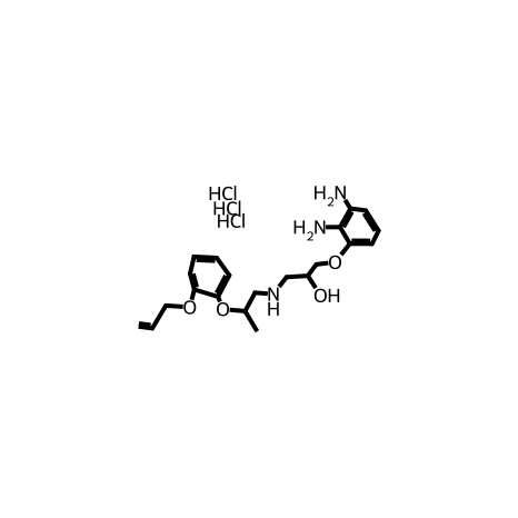 C=CCOc1ccccc1OC(C)CNCC(O)COc1cccc(N)c1N.Cl.Cl.Cl